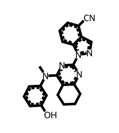 CN(c1cccc(O)c1)c1nc(-n2ncc3c(C#N)cccc32)nc2c1CCCC2